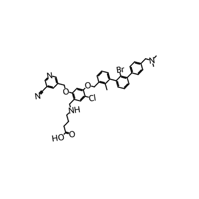 Cc1c(COc2cc(OCc3cncc(C#N)c3)c(CNCCCC(=O)O)cc2Cl)cccc1-c1cccc(-c2ccc(CN(C)C)cc2)c1Br